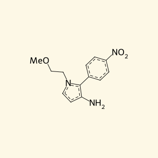 COCCn1ccc(N)c1-c1ccc([N+](=O)[O-])cc1